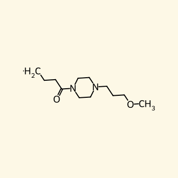 [CH2]CCC(=O)N1CCN(CCCOC)CC1